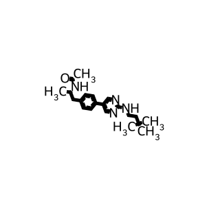 CC(=O)NC(C)Cc1ccc(-c2cnc(NCCC(C)(C)C)nc2)cc1